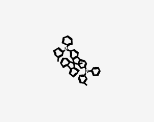 Cc1cccc(N(C2=CC=C3c4ccc(N(c5ccccc5)c5cccc(C)c5)cc4C4(c5ccccc5-c5ccccc54)C3(C)C2)c2ccccc2)c1